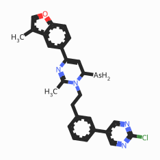 CC1=NC(c2ccc3occ(C)c3c2)=CC([AsH2])N1CCc1cccc(-c2cnc(Cl)nc2)c1